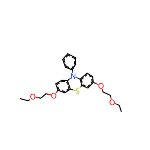 CCOCCOc1ccc2c(c1)Sc1cc(OCCOCC)ccc1N2c1ccccc1